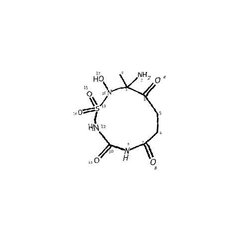 CC1(N)C(=O)CCC(=O)NC(=O)NS(=O)(=O)N1O